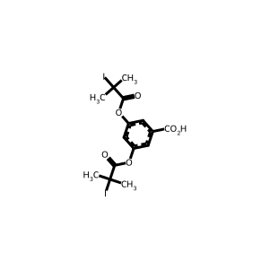 CC(C)(I)C(=O)Oc1cc(OC(=O)C(C)(C)I)cc(C(=O)O)c1